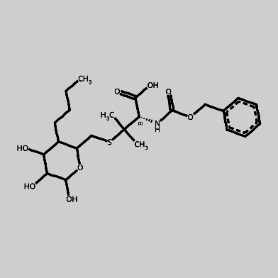 CCCCC1C(CSC(C)(C)[C@@H](NC(=O)OCc2ccccc2)C(=O)O)OC(O)C(O)C1O